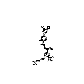 C=N/C(=C\C=C(/C)c1cnc(OCC2(C(=O)OC)CCC2)cc1C)c1nc(S(C)(=O)=O)n(COCC[Si](C)(C)C)n1